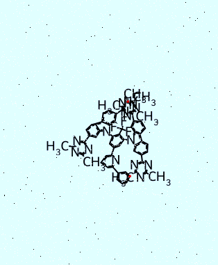 Cc1nc(C)nc(-c2ccc3c4ccc(-c5nc(C)nc(C)n5)cc4n(-c4cc(-c5cccc(-c6ccccc6)n5)cc(-n5c6cc(-c7nc(C)nc(C)n7)ccc6c6ccc(-c7nc(C)nc(C)n7)cc65)c4C(F)(F)F)c3c2)n1